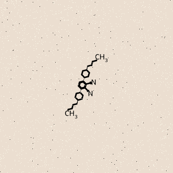 CCCCC[C@H]1CC[C@H](c2ccc([C@H]3CC[C@H](CCCCC)CC3)c(C#N)c2C#N)CC1